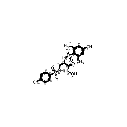 Cc1cc(C)c(S(=O)(=O)NC(CNS(=O)(=O)c2ccc(Cl)cc2)C(=O)NO)c(C)c1